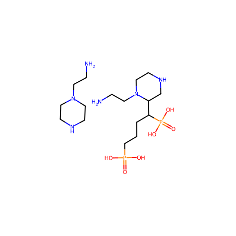 NCCN1CCNCC1.NCCN1CCNCC1C(CCCP(=O)(O)O)P(=O)(O)O